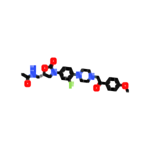 COc1ccc(C(=O)CN2CCN(c3ccc(N4C[C@H](CNC(C)=O)OC4=O)cc3F)CC2)cc1